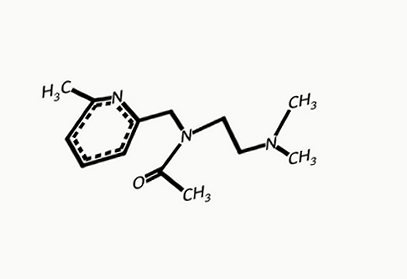 CC(=O)N(CCN(C)C)Cc1cccc(C)n1